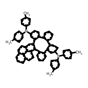 Cc1ccc(N(c2ccc(C)cc2)c2ccc3c4ccccc4c4ccc(N(c5ccc(C)cc5)c5ccc(C)cc5)cc4c4cc5ccc6cccc7ccc(c4c4ccccc4c3c2)c5c67)cc1